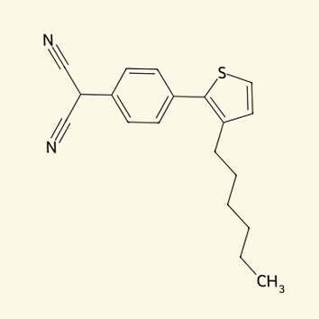 CCCCCCc1ccsc1-c1ccc(C(C#N)C#N)cc1